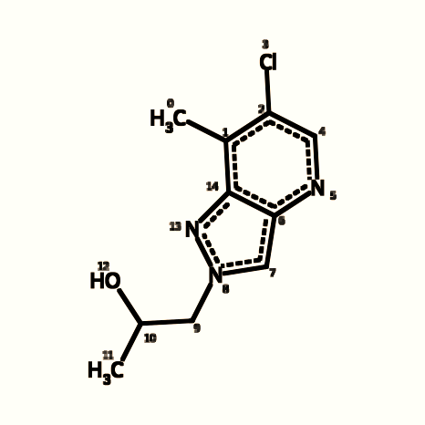 Cc1c(Cl)cnc2cn(CC(C)O)nc12